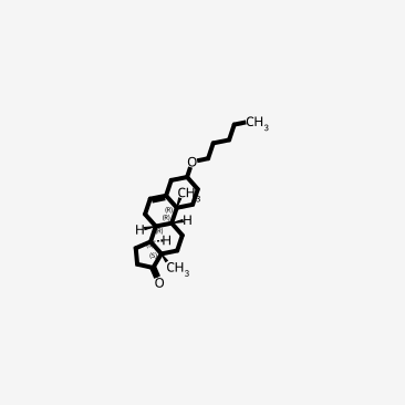 CCCCCOC1CC[C@@]2(C)C(=CC[C@@H]3[C@H]2CC[C@]2(C)C(=O)CC[C@@H]32)C1